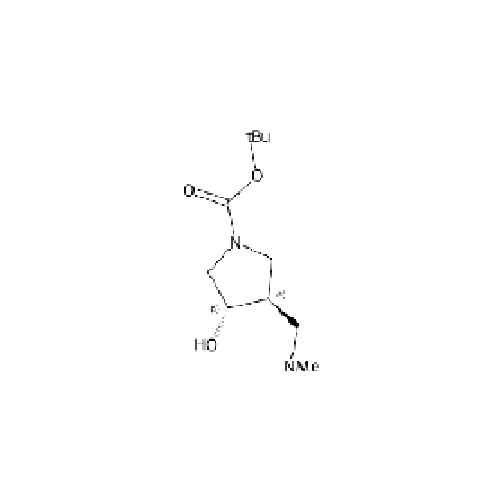 CNC[C@@H]1CN(C(=O)OC(C)(C)C)C[C@H]1O